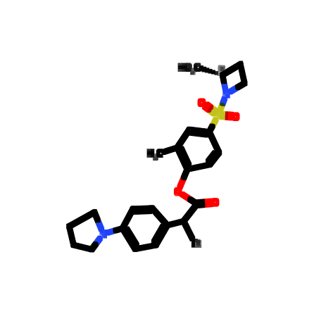 CCC(C(=O)Oc1ccc(S(=O)(=O)N2CC[C@H]2C(=O)O)cc1C)c1ccc(N2CCCC2)cc1